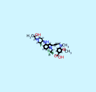 COc1cc(C(=O)O)ccc1N(C)CC#Cc1cc2c(N[C@@H]3CCN(CC(C)O)C[C@@H]3F)cccc2n1CC(F)(F)F